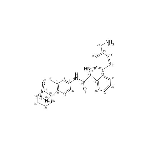 Cc1cc(NC(=O)C(Nc2cccc(CN)c2)c2ccccc2)ccc1N1C(=O)C2CCC1CC2